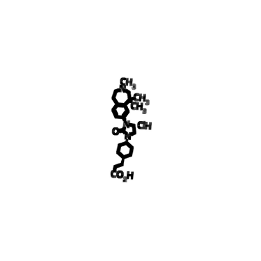 CN1CCc2ccc(N3CCN([C@H]4CC[C@H](CCC(=O)O)CC4)C3=O)cc2C(C)(C)C1.Cl